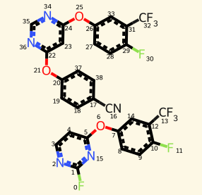 Fc1nccc(Oc2ccc(F)c(C(F)(F)F)c2)n1.N#Cc1ccc(Oc2cc(Oc3ccc(F)c(C(F)(F)F)c3)ncn2)cc1